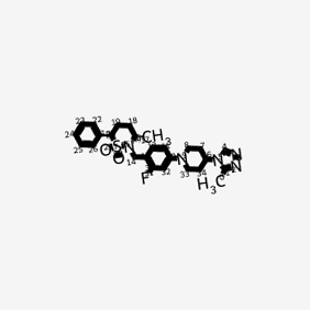 Cc1nncn1C1CCN(c2ccc(CN3[C@@H](C)CC[C@H](c4ccccc4)S3(=O)=O)c(F)c2)CC1